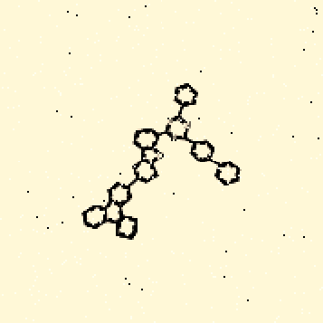 c1ccc(-c2ccc(-c3nc(-c4ccccc4)nc(-c4cccc5c4oc4ccc(-c6ccc7c8ccccc8c8ccccc8c7c6)cc45)n3)cc2)cc1